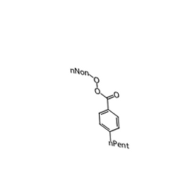 [CH2]CCCCCCCCOOC(=O)c1ccc(CCCCC)cc1